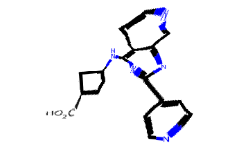 O=C(O)[C@H]1C[C@@H](Nc2nc(-c3ccncc3)nc3cnccc23)C1